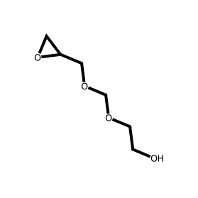 OCCOCOCC1CO1